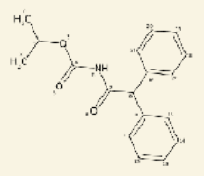 CC(C)OC(=O)NC(=O)C(c1ccccc1)c1ccccc1